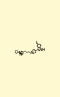 Ic1ccc2[nH]cc(C3=CCN(CCCCc4cnn(C5CCCC5)c4)CC3)c2c1